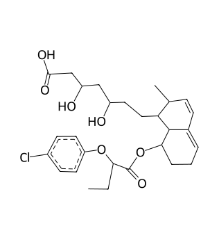 CCC(Oc1ccc(Cl)cc1)C(=O)OC1CCC=C2C=CC(C)C(CCC(O)CC(O)CC(=O)O)C21